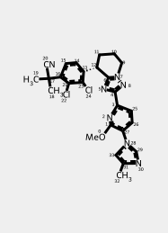 COc1nc(-c2nc3n(n2)CCC[C@H]3c2ccc(C(C)(C)C#N)c(Cl)c2Cl)ccc1-n1cnc(C)c1